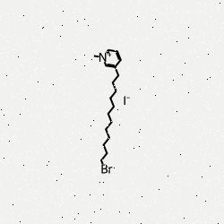 C[n+]1cccc(CCCCCCCCCCCCBr)c1.[I-]